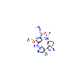 C=CC(=O)Nc1cc(Nc2ncc(Cl)c(-c3cn(C)c4ccccc34)n2)c(OCC(F)(F)F)nc1N(C)CCN(C)C